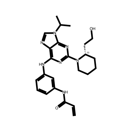 C=CC(=O)Nc1cccc(Nc2nc(N3CCCC[C@H]3CCO)nc3c2ncn3C(C)C)c1